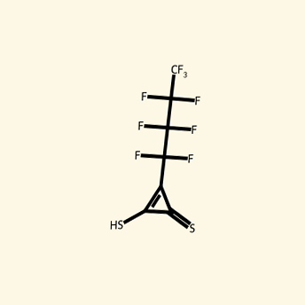 FC(F)(F)C(F)(F)C(F)(F)C(F)(F)c1c(S)c1=S